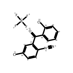 F[B-](F)(F)F.N#[N+]c1ccc(Cl)cc1C(=O)c1ccccc1Cl